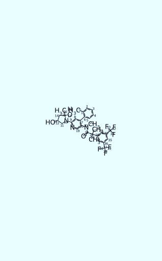 Cc1ccccc1-c1cc(N2CC(O)CC2(C)O)ncc1N(C)C(=O)C(C)(C)c1cc(C(F)(F)F)cc(C(F)(F)F)c1